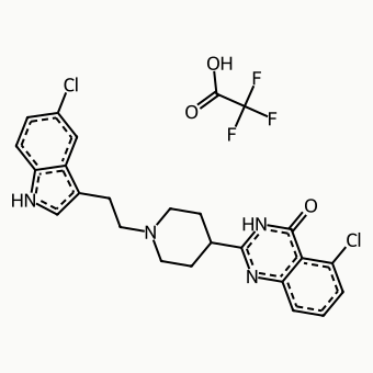 O=C(O)C(F)(F)F.O=c1[nH]c(C2CCN(CCc3c[nH]c4ccc(Cl)cc34)CC2)nc2cccc(Cl)c12